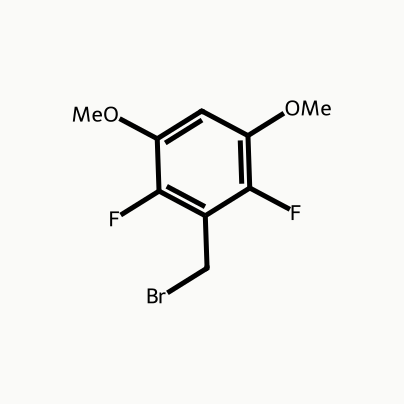 COc1cc(OC)c(F)c(CBr)c1F